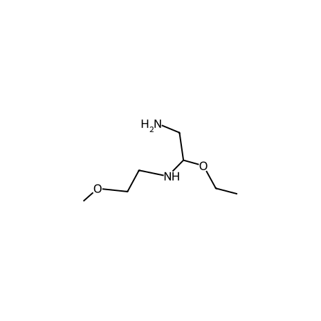 CCOC(CN)NCCOC